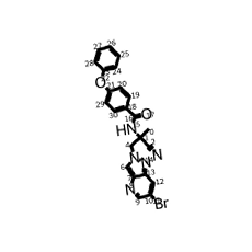 CC(C#N)(Cn1cc2ncc(Br)cc2n1)NC(=O)c1ccc(Oc2ccccc2)cc1